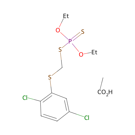 CC(=O)O.CCOP(=S)(OCC)SCSc1cc(Cl)ccc1Cl